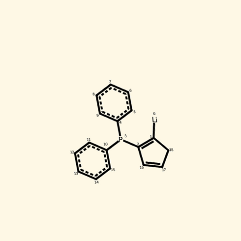 [Li][C]1=C(P(c2ccccc2)c2ccccc2)C=CC1